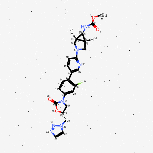 CC(C)(C)OC(=O)N[C@H]1[C@@H]2CN(c3ccc(-c4ccc(N5C[C@H](Cn6ccnn6)OC5=O)cc4F)cn3)C[C@@H]21